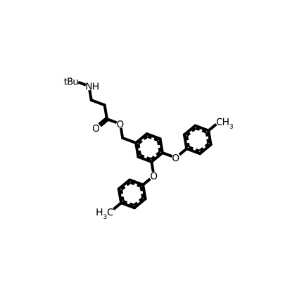 Cc1ccc(Oc2ccc(COC(=O)CCNC(C)(C)C)cc2Oc2ccc(C)cc2)cc1